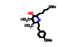 COc1ccc(CCc2nc(CCCCSC)c(O)c(C(=O)O)c2C(=O)O)cc1